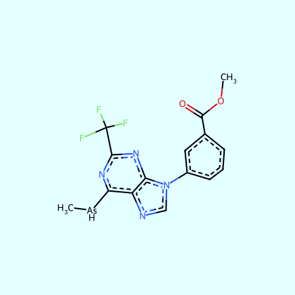 COC(=O)c1cccc(-n2cnc3c([AsH]C)nc(C(F)(F)F)nc32)c1